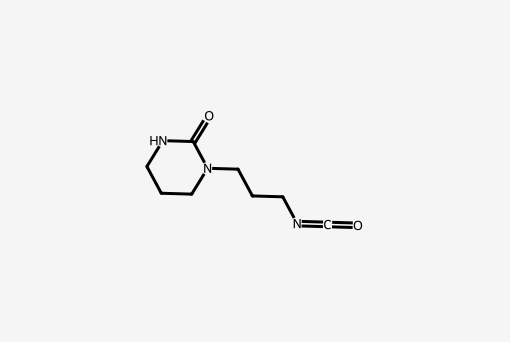 O=C=NCCCN1CCCNC1=O